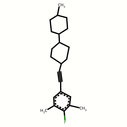 Cc1cc(C#CC2CCC(C3CCC(C)CC3)CC2)cc(C)c1F